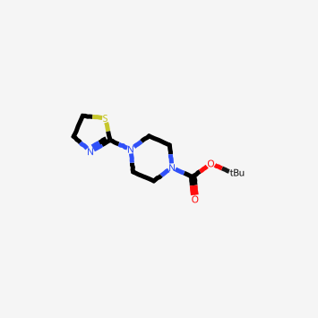 CC(C)(C)OC(=O)N1CCN(C2=NCCS2)CC1